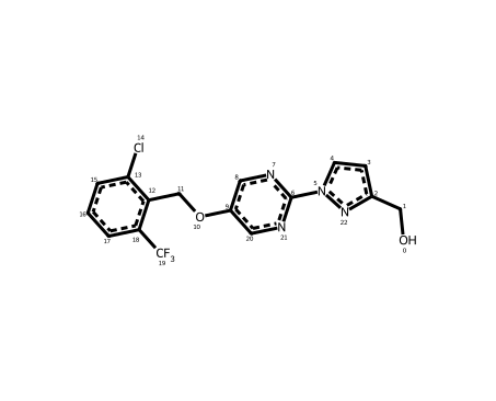 OCc1ccn(-c2ncc(OCc3c(Cl)cccc3C(F)(F)F)cn2)n1